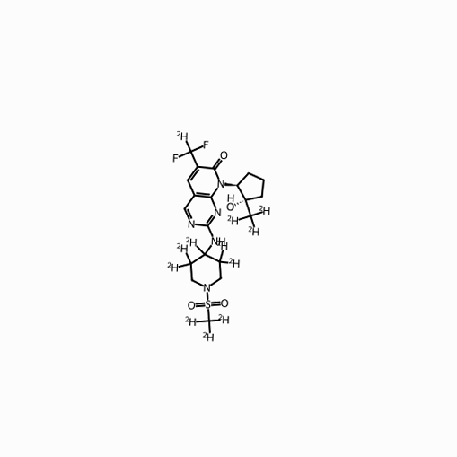 [2H]C(F)(F)c1cc2cnc(NC3([2H])C([2H])([2H])CN(S(=O)(=O)C([2H])([2H])[2H])CC3([2H])[2H])nc2n([C@H]2CCC[C@@]2(O)C([2H])([2H])[2H])c1=O